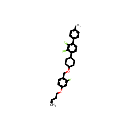 C=CCCOc1ccc(COC2CCC(c3ccc(-c4ccc(C)cc4)c(F)c3F)CC2)c(F)c1